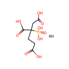 O=C(O)CCC(CC(=O)O)(C(=O)O)P(=O)(O)O.[KH]